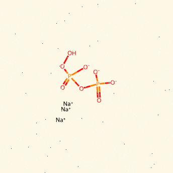 O=P([O-])([O-])OP(=O)([O-])OO.[Na+].[Na+].[Na+]